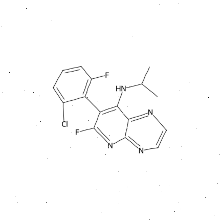 CC(C)Nc1c(-c2c(F)cccc2Cl)c(F)nc2nccnc12